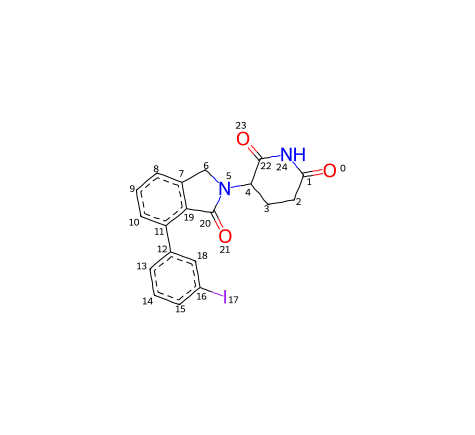 O=C1CCC(N2Cc3cccc(-c4cccc(I)c4)c3C2=O)C(=O)N1